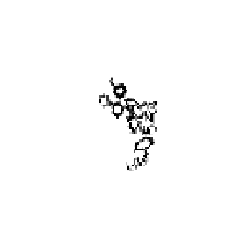 CCc1cccc(-c2c(Cl)cccc2C(O)(CCCCOC)C2CCCN(C(=O)[C@H]3CC[C@H](CNC)CC3)C2)c1